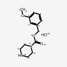 COc1cccc(COC(=O)N2CCNCC2)c1.Cl